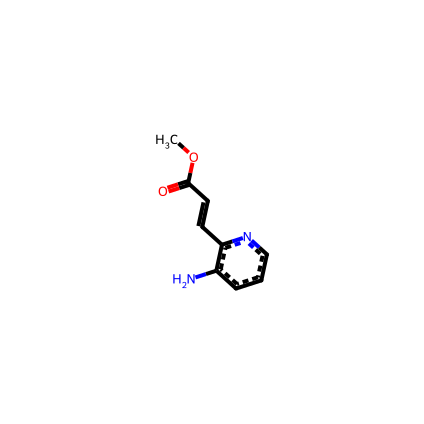 COC(=O)C=Cc1ncccc1N